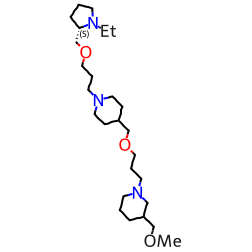 CCN1CCC[C@H]1COCCCN1CCC(COCCCN2CCCC(COC)C2)CC1